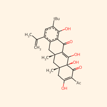 C=C(C)c1cc(C(C)(C)C)c(O)c2c1C[C@@]1(C)C[C@@]3(C)CC(O)=C(C(C)=O)C(=O)[C@@]3(O)C(O)=C1C2=O